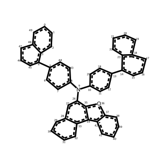 c1ccc2c(-c3ccc(N(c4ccc(-c5cccc6ccccc56)cc4)c4cc5ccccc5c5c4oc4ccccc45)cc3)cccc2c1